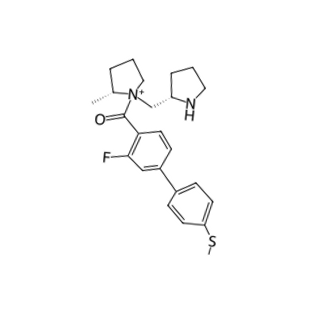 CSc1ccc(-c2ccc(C(=O)[N+]3(C[C@@H]4CCCN4)CCC[C@H]3C)c(F)c2)cc1